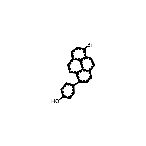 Oc1ccc(-c2ccc3ccc4c(Br)ccc5ccc2c3c54)cc1